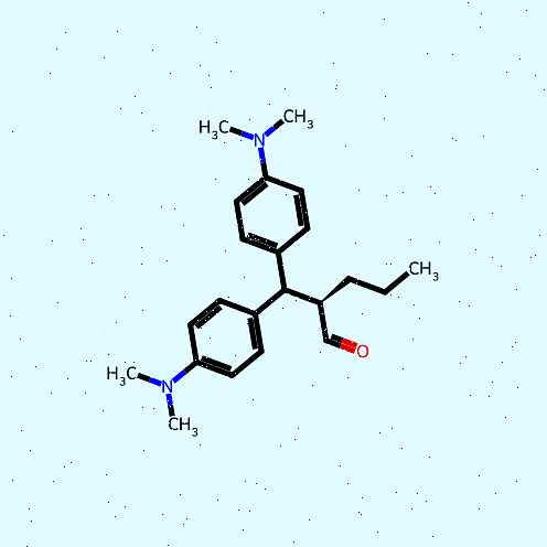 CCC[C@@H](C=O)C(c1ccc(N(C)C)cc1)c1ccc(N(C)C)cc1